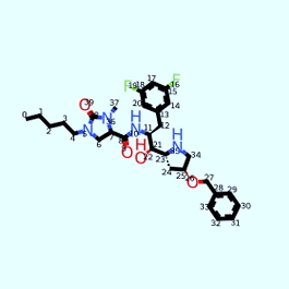 CCCCCN1CC(C(=O)N[C@@H](Cc2cc(F)cc(F)c2)[C@H](O)[C@H]2C[C@@H](OCc3ccccc3)CN2)N(C)C1=O